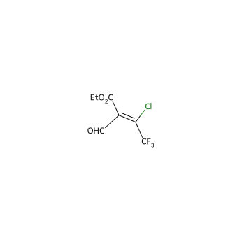 CCOC(=O)C(C=O)=C(Cl)C(F)(F)F